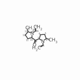 C=CN1C(C)CCC1C(=O)C1CCC(C)N1C=C